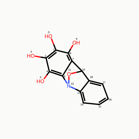 Oc1c(O)c(O)c2c(c1O)C1ON2c2ccccc21